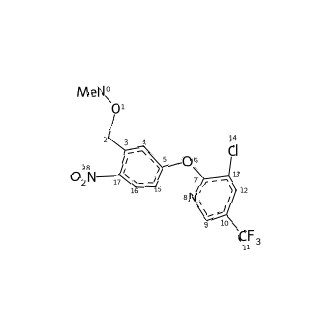 CNOCc1cc(Oc2ncc(C(F)(F)F)cc2Cl)ccc1[N+](=O)[O-]